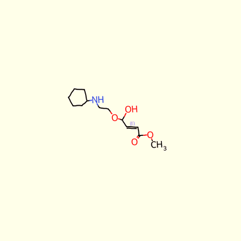 COC(=O)/C=C/C(O)OCCNC1CCCCC1